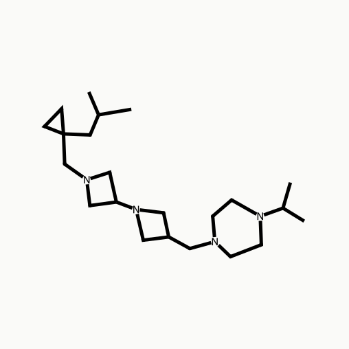 CC(C)CC1(CN2CC(N3CC(CN4CCN(C(C)C)CC4)C3)C2)CC1